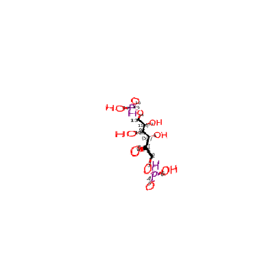 O=C(CO[PH](=O)O)[C@@H](O)[C@H](O)[C@H](O)CO[PH](=O)O